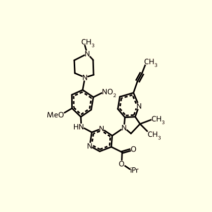 CC#Cc1ccc2c(n1)C(C)(C)CN2c1nc(Nc2cc([N+](=O)[O-])c(N3CCN(C)CC3)cc2OC)ncc1C(=O)OC(C)C